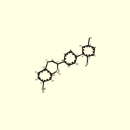 Cc1ccc(F)c(-c2ccc(C3CCc4ccc(Br)cc4O3)cc2)c1